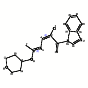 C=C(/C(Cl)=C\N=C(/C)OC1CCOCC1)n1cnc2ccccc21